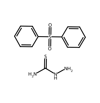 NNC(N)=S.O=S(=O)(c1ccccc1)c1ccccc1